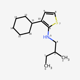 CCC(C)CNc1sccc1C1CCCCC1